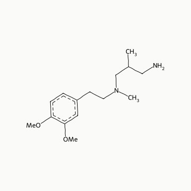 COc1ccc(CCN(C)CC(C)CN)cc1OC